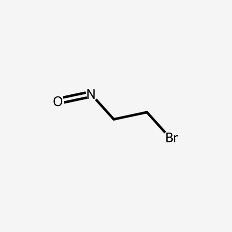 O=NCCBr